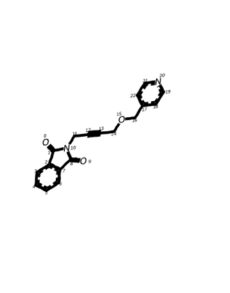 O=C1c2ccccc2C(=O)N1CC#CCOCc1ccncc1